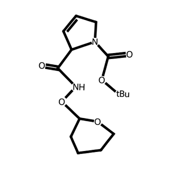 CC(C)(C)OC(=O)N1CC=CC1C(=O)NOC1CCCCO1